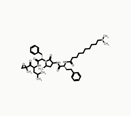 CC(C)CC(NC(=O)[C@H](Cc1ccccc1)N1C(=O)C(NC(=O)[C@H](CCc2ccccc2)NC(=O)CCCCCCCCCN(C)C)CC1C)C(=O)C1(C)CO1